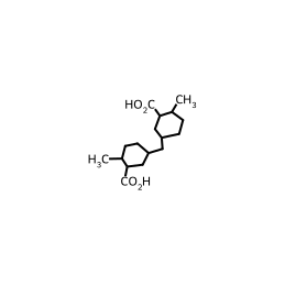 CC1CCC(CC2CCC(C)C(C(=O)O)C2)CC1C(=O)O